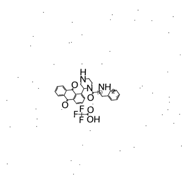 N[C@@H](Cc1ccccc1)C(=O)N1CCNCC1c1cccc2c1C(=O)c1ccccc1C2=O.O=C(O)C(F)(F)F